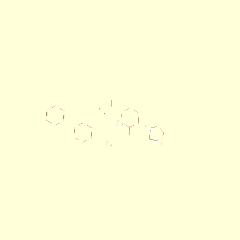 Cc1cn(-c2ccc3n(c2=O)CCN(CCOc2ccccc2-c2ccc(C#N)cc2)C3=O)cn1